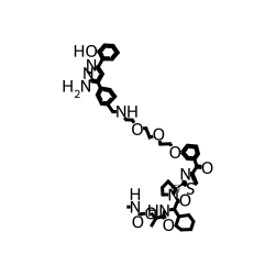 CNC(=O)OC(C)C(=O)NC(C(=O)N1CCC[C@H]1c1nc(C(=O)c2cccc(OCCOCCOCCNCc3ccc(-c4cc(-c5ccccc5O)nnc4N)cc3)c2)cs1)C1CCCCC1